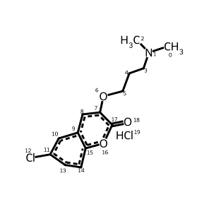 CN(C)CCCOc1cc2cc(Cl)ccc2oc1=O.Cl